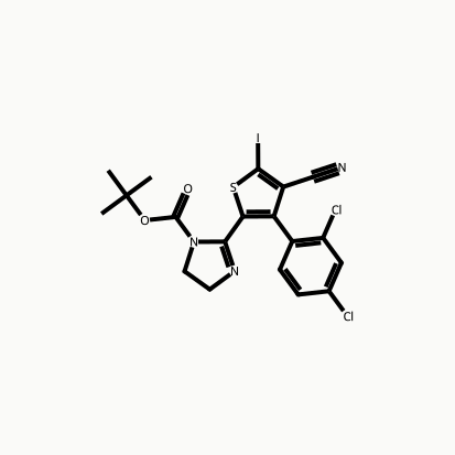 CC(C)(C)OC(=O)N1CCN=C1c1sc(I)c(C#N)c1-c1ccc(Cl)cc1Cl